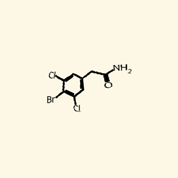 NC(=O)Cc1cc(Cl)c(Br)c(Cl)c1